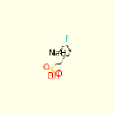 O=S(=O)(O)CCc1ccc(F)cc1.[NaH]